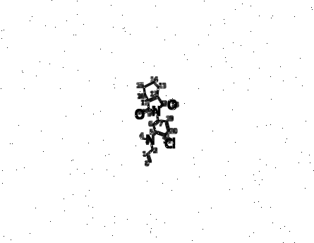 C=CCN(C)c1cc(N2C(=O)C3=C(CCCC3)C2=O)ccc1Cl